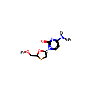 CCCN(CC)c1ccn([C@@H]2CSC(COC(C)C)O2)c(=O)n1